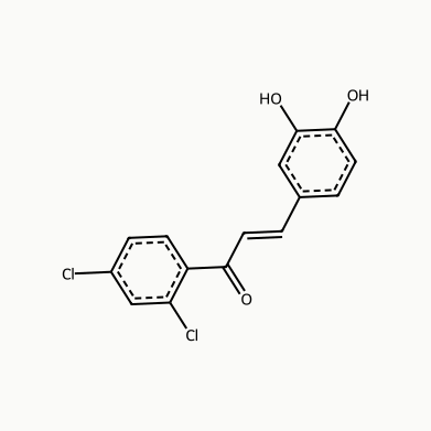 O=C(/C=C/c1ccc(O)c(O)c1)c1ccc(Cl)cc1Cl